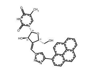 Cc1cn([C@@H]2O[C@H](CO)C(=Cn3cc(-c4ccc5ccc6cccc7ccc4c5c67)nn3)[C@H]2O)c(=O)[nH]c1=O